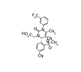 CC1=C(C#N)[C@H](c2ccc(C#N)cc2S(C)(=O)=O)N(CC(=O)O)C(=O)N1c1cccc(C(F)(F)F)c1